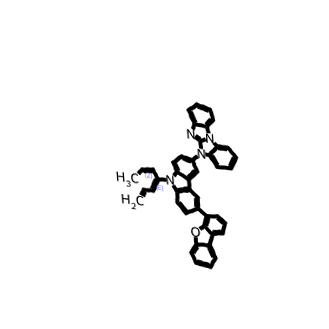 C=C/C=C(\C=C/C)n1c2ccc(-c3cccc4c3oc3ccccc34)cc2c2cc(-n3c4ccccc4n4c5ccccc5nc34)ccc21